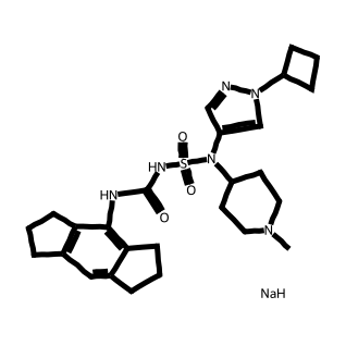 CN1CCC(N(c2cnn(C3CCC3)c2)S(=O)(=O)NC(=O)Nc2c3c(cc4c2CCC4)CCC3)CC1.[NaH]